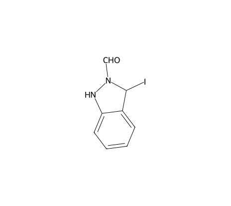 O=CN1Nc2ccccc2C1I